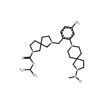 C[S+]([O-])N1CCC2(CCN(c3cc(C(F)(F)F)ccc3CN3CCC4(CCN(C(=O)OC(C(F)(F)F)C(F)(F)F)C4)C3)CC2)C1